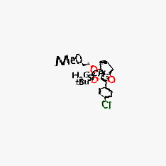 COCCOc1cccc2oc(-c3ccc(Cl)cc3)c(O[Si](C)(C)C(C)(C)C)c12